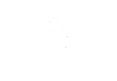 CCCOc1ccc(C=CC(=O)O)cc1C(C)CCc1nc2[nH]ncc2c(=O)[nH]1